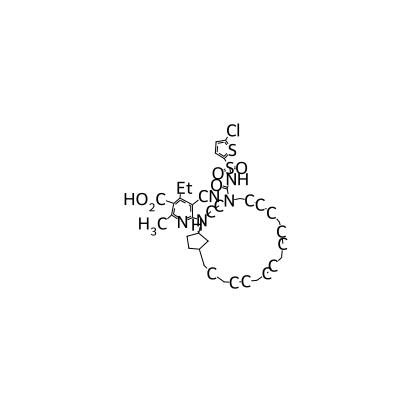 CCc1c(C#N)c(N2CCN(C(=O)NS(=O)(=O)c3ccc(Cl)s3)CCCCCCCCCCCCCCCCC3CC[C@H]2C3)nc(C)c1C(=O)O